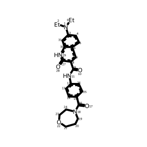 CCN(CC)c1ccc2cc(C(=O)Nc3ccc(C(=O)N4CCCOCC4)cc3)c(=O)[nH]c2c1